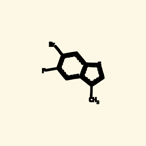 Cc1csc2cc(Br)c(F)cc12